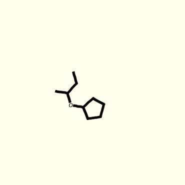 CCC(C)OC1CCCC1